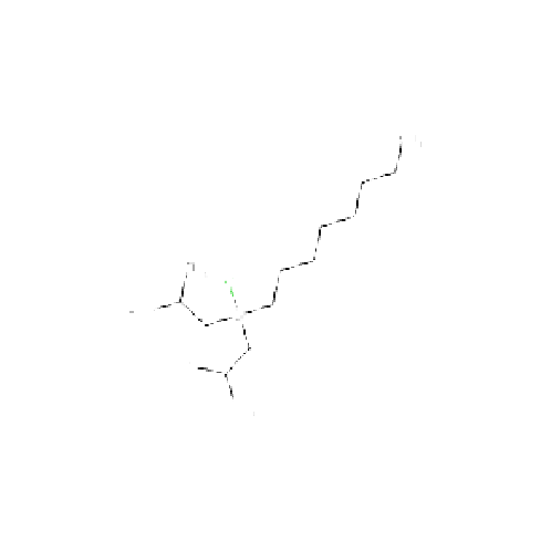 CCCCCCCC[Si](Cl)(CC(C)C)CC(C)C